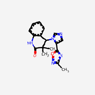 Cc1noc(-c2cncn2C2c3ccccc3NC(=O)C2(C)C)n1